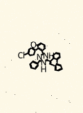 ClC1=Cc2oc3cccc(C4N=C(c5ccccc5)NC(c5cc6ccccc6c6ccccc56)N4)c3c2CC1